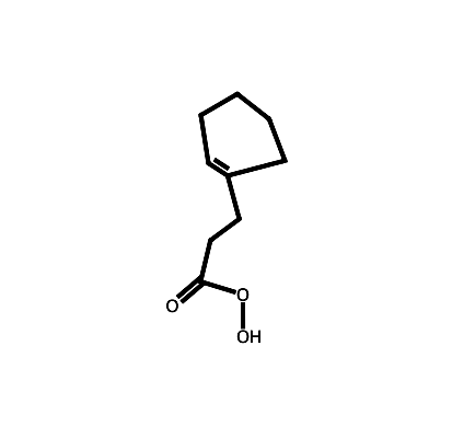 O=C(CCC1=CCCCC1)OO